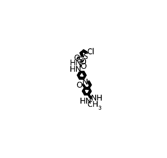 CNC(=N)c1ccc2c(=O)n(-c3ccc(NC(=O)NS(=O)(=O)c4ccc(Cl)s4)cc3)ccc2c1